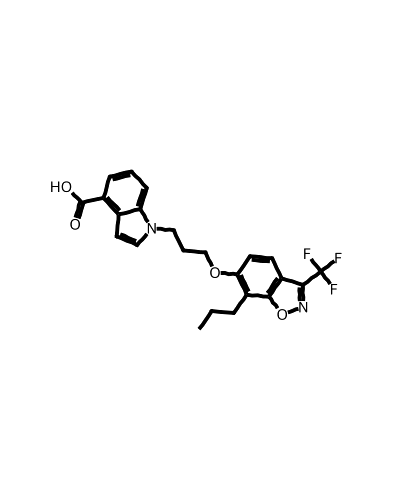 CCCc1c(OCCCn2ccc3c(C(=O)O)cccc32)ccc2c(C(F)(F)F)noc12